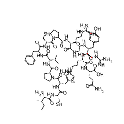 CC[C@H](C)[C@H](N)C(=O)N[C@@H](CS)C(=O)N[C@@H](Cc1c[nH]cn1)C(=O)N1CCC[C@H]1C(=O)N[C@H](C(=O)N[C@@H](Cc1ccccc1)C(=O)N[C@@H](CS)C(=O)N1CCC[C@H]1C(=O)N[C@@H](CCCNC(=N)N)C(=O)N[C@@H](CCCNC(=N)N)C(=O)N[C@@H](Cc1ccc(O)cc1)C(=O)N[C@@H](CCCCN)C(=O)N[C@@H](CCC(N)=O)C(=O)O)C(C)C